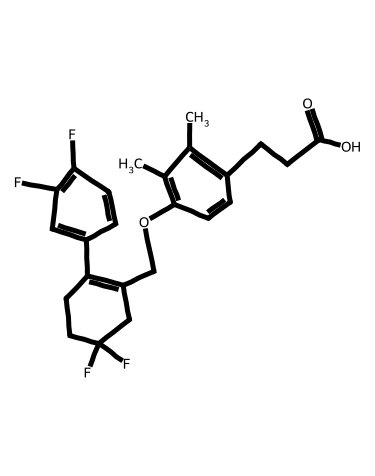 Cc1c(CCC(=O)O)ccc(OCC2=C(c3ccc(F)c(F)c3)CCC(F)(F)C2)c1C